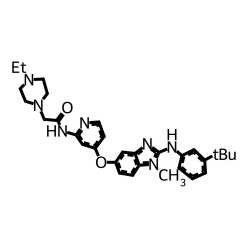 CCN1CCN(CC(=O)Nc2cc(Oc3ccc4c(c3)nc(Nc3cccc(C(C)(C)C)c3)n4C)ccn2)CC1